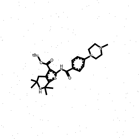 CN1CCN(c2ccc(C(=O)Nc3sc4c(c3C(=O)OC(C)(C)C)CC(C)(C)NC4(C)C)cc2)CC1